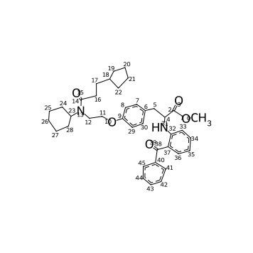 COC(=O)C(Cc1ccc(OCCN(C(=O)CCC2CCCC2)C2CCCCC2)cc1)Nc1ccccc1C(=O)c1ccccc1